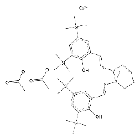 CC(=O)[O-].CC(=O)[O-].C[Si](C)(C)c1cc(C=NC2CC3CCC2(N=Cc2cc([Si](C)(C)C)cc([Si](C)(C)C)c2O)C3)c(O)c([Si](C)(C)C)c1.[Co+2]